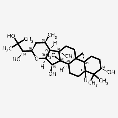 C[C@@H]1C[C@H]([C@H](O)C(C)(C)O)O[C@H]2[C@@H]1[C@@]1(C)CCC34C[C@@]35CC[C@H](O)C(C)(C)[C@@H]5CC[C@H]4[C@]1(C)[C@H]2O